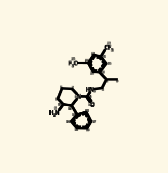 CC(CNC(=O)N1CCCC(N)C1c1ccccc1)c1cc(C(F)(F)F)cc(C(F)(F)F)c1